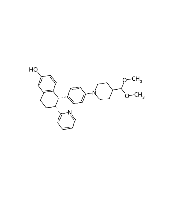 COC(OC)C1CCN(c2ccc([C@H]3c4ccc(O)cc4CC[C@H]3c3ccccn3)cc2)CC1